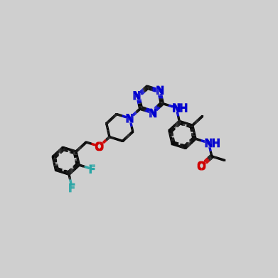 CC(=O)Nc1cccc(Nc2ncnc(N3CCC(OCc4cccc(F)c4F)CC3)n2)c1C